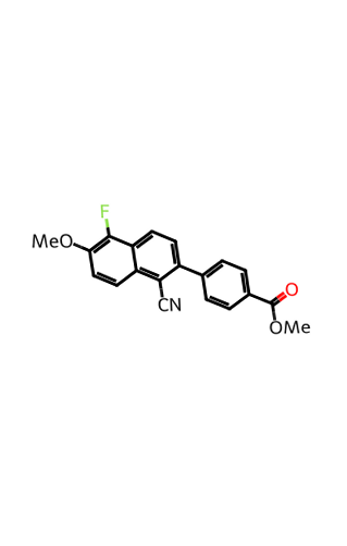 COC(=O)c1ccc(-c2ccc3c(F)c(OC)ccc3c2C#N)cc1